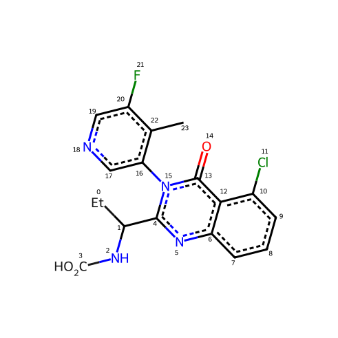 CCC(NC(=O)O)c1nc2cccc(Cl)c2c(=O)n1-c1cncc(F)c1C